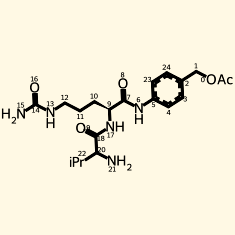 CC(=O)OCc1ccc(NC(=O)[C@H](CCCNC(N)=O)NC(=O)C(N)C(C)C)cc1